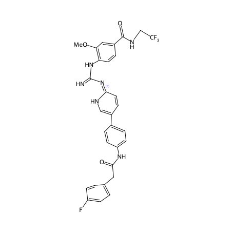 COc1cc(C(=O)NCC(F)(F)F)ccc1NC(=N)/N=c1/ccc(-c2ccc(NC(=O)Cc3ccc(F)cc3)cc2)c[nH]1